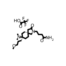 COCCC[C@]1(N(C)C)CC[C@]2(CC1)CC(=O)N(CCCC(N)=O)C2.O=C(O)C(F)(F)F